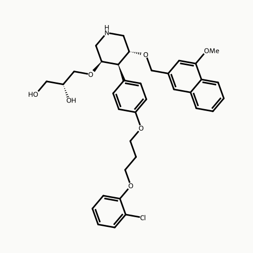 COc1cc(CO[C@H]2CNC[C@H](OC[C@H](O)CO)[C@@H]2c2ccc(OCCCOc3ccccc3Cl)cc2)cc2ccccc12